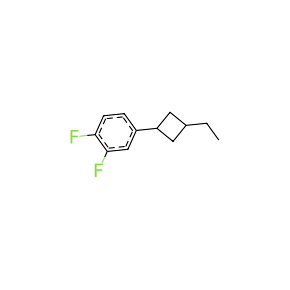 CCC1CC(c2ccc(F)c(F)c2)C1